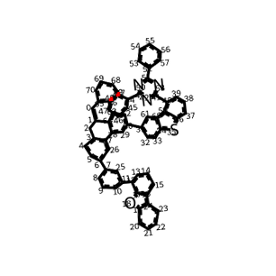 C(=C1\Cc2ccc(-c3cccc(-c4cccc5c4oc4ccccc45)c3)cc2-c2cc(-c3ccc4sc5cccc(-c6nc(-c7ccccc7)nc(-c7ccccc7)n6)c5c4c3)ccc21)/c1ccccc1